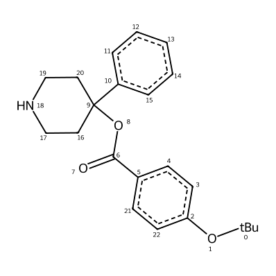 CC(C)(C)Oc1ccc(C(=O)OC2(c3ccccc3)CCNCC2)cc1